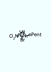 CCCCCCN1N=CN([N+](=O)[O-])C1Br